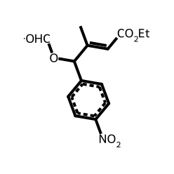 CCOC(=O)C=C(C)C(O[C]=O)c1ccc([N+](=O)[O-])cc1